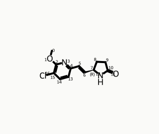 COc1nc(C=C[C@H]2CCC(=O)N2)ccc1Cl